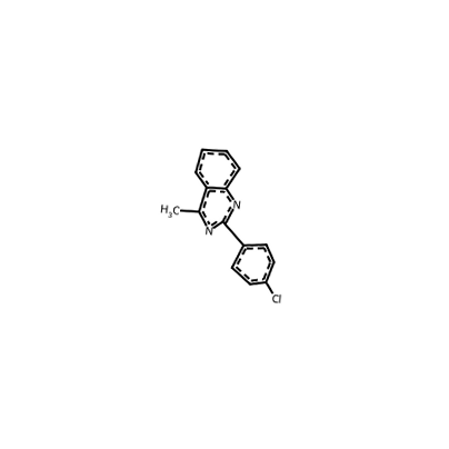 Cc1nc(-c2ccc(Cl)cc2)nc2ccccc12